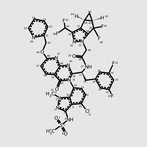 Cn1nc(NS(C)(=O)=O)c2c(Cl)ccc(-n3c([C@H](Cc4cc(F)cc(F)c4)NC(=O)Cn4nc(C(F)F)c5c4C(F)(F)[C@@H]4C[C@H]54)nc4nc(OCc5ccccn5)ccc4c3=O)c21